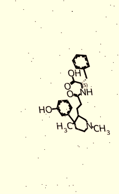 CN1CCC(C)(c2cccc(O)c2)C(CCC(=O)N[C@@H](Cc2ccccc2)C(=O)O)C1